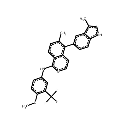 COc1ccc(Nc2nccc3c(-c4ccc5[nH]nc(C)c5c4)c(C)ccc23)cc1C(F)(F)F